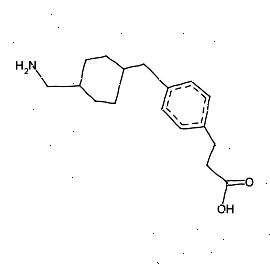 NCC1CCC(Cc2ccc(CCC(=O)O)cc2)CC1